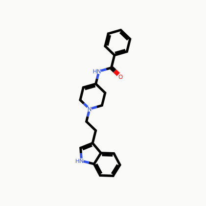 O=C(NC1=CCN(CCc2c[nH]c3ccccc23)CC1)c1ccccc1